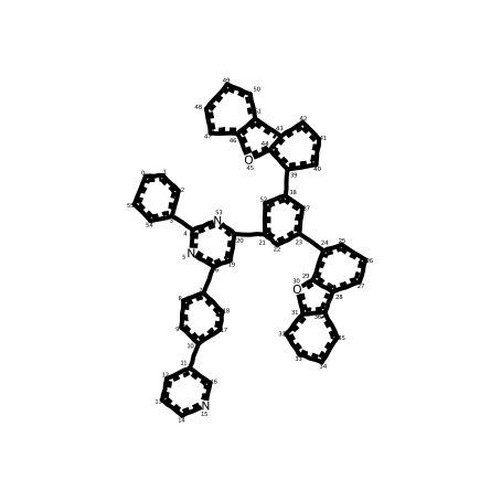 c1ccc(-c2nc(-c3ccc(-c4cccnc4)cc3)cc(-c3cc(-c4cccc5c4oc4ccccc45)cc(-c4cccc5c4oc4ccccc45)c3)n2)cc1